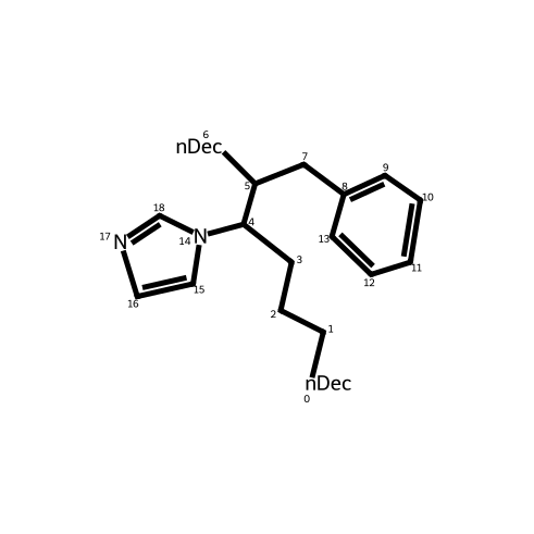 CCCCCCCCCCCCCC(C(CCCCCCCCCC)Cc1ccccc1)n1ccnc1